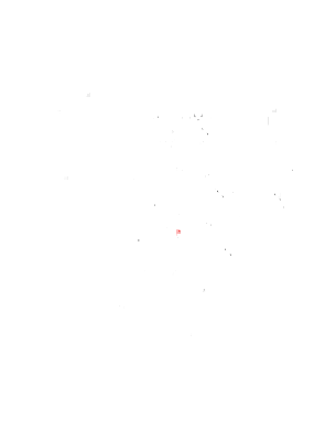 COC(=O)c1cc(-c2c3ccc(Nc4ncc(F)c(Nc5ccc6c(c5)OCCO6)n4)c2OCC3)co1